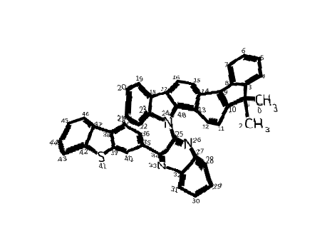 CC1(C)c2ccccc2-c2c1ccc1c2ccc2c3ccccc3n(-c3nc4ccccc4nc3-c3ccc4c(c3)sc3ccccc34)c12